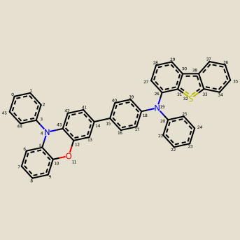 c1ccc(N2c3ccccc3Oc3cc(-c4ccc(N(c5ccccc5)c5cccc6c5sc5ccccc56)cc4)ccc32)cc1